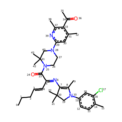 CCC/C=C/C(=N\C1=C(C)N(c2ccc(C)c(Cl)c2)CC1(C)C)C(=O)N1CCN(c2cc(C)c(C(C)=O)c(C)n2)CC1(C)C